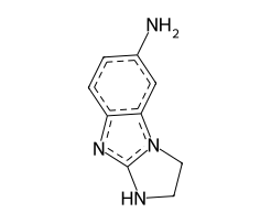 Nc1ccc2nc3n(c2c1)CCN3